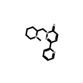 CN1CCCCC1Cn1nc(-c2ccccn2)ccc1=O